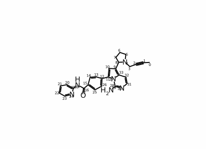 CC#CCN1CCCC1c1cc(-c2ccc(C(=O)Nc3ccccn3)cc2)n2c(N)nccc12